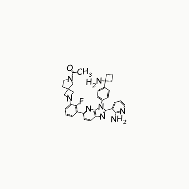 CC(=O)N1CCC2(C1)CN(c1cccc(-c3ccc4nc(-c5cccnc5N)n(-c5ccc(C6(N)CCC6)cc5)c4n3)c1F)C2